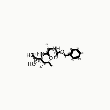 CC[C@H](C)[C@H](NC(=O)[C@H](C)NC(=O)OCc1ccccc1)B(O)O